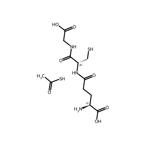 CC(=O)S.N[C@@H](CCC(=O)N[C@@H](CS)C(=O)NCC(=O)O)C(=O)O